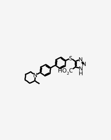 CC1CCCCN1c1ccc(-c2ccc(Sc3nn[nH]c3C(=O)O)cc2)cc1